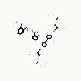 C=C(COc1ccc(C(C)(C)c2ccc(OCC(=C)C(=O)OCCO)cc2)cc1)C(=O)OCCO.O=C(O)c1ccccc1C(=O)O.O=C(O)c1ccccc1C(=O)O